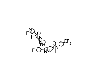 O=C(Nc1cn2nc(-c3c(-c4ccc(F)cc4)nn4c3CN(C(=O)Nc3ccc(C(F)(F)F)cc3)CC4)ccc2n1)c1ccnc(F)c1